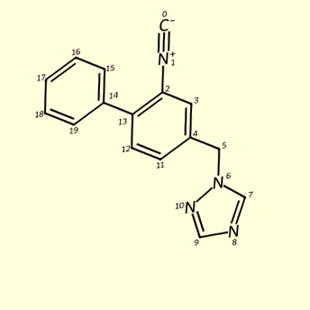 [C-]#[N+]c1cc(Cn2cncn2)ccc1-c1ccccc1